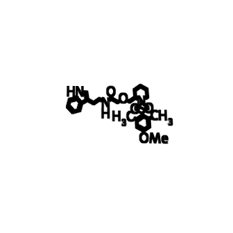 COc1cc(C)c(S(=O)(=O)N2CCCCC2COCC(=O)NCCc2c[nH]c3ccccc23)c(C)c1